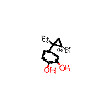 CC[C@@H]1CC1(CC)c1ccc(O)c(O)c1